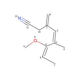 C=C(/C=C(C)\C(=C/C)OC)CC#N